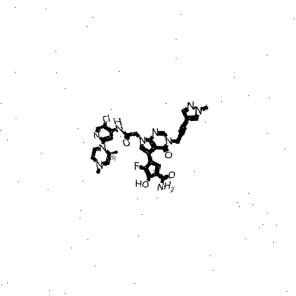 C[C@H]1CN(C)CCN1c1cc(NC(=O)Cn2cc(C3C=C(C(N)=O)C(O)=C3F)c3c(=O)n(CC#Cc4cnn(C)c4)cnc32)c(Cl)cn1